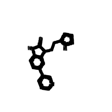 O=C1Nc2ccc(-c3cccnc3)cc2C1CCc1ccc[nH]1